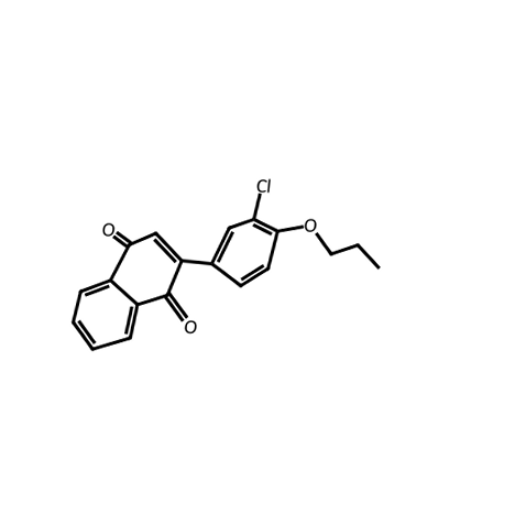 CCCOc1ccc(C2=CC(=O)c3ccccc3C2=O)cc1Cl